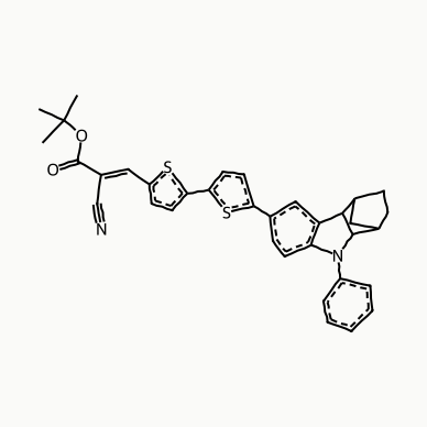 CC(C)(C)OC(=O)/C(C#N)=C/c1ccc(-c2ccc(-c3ccc4c(c3)C3C5CCC(C5)C3N4c3ccccc3)s2)s1